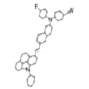 N#Cc1ccc(N(c2ccc(F)cc2)c2ccc3cc(/C=C/c4ccc5c6c4ccc4cccc(c46)n5-c4ccccc4)ccc3c2)cc1